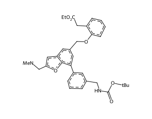 CCOC(=O)Cc1ccccc1OCc1cc(-c2cccc(CNC(=O)OC(C)(C)C)c2)c2oc(CNC)cc2c1